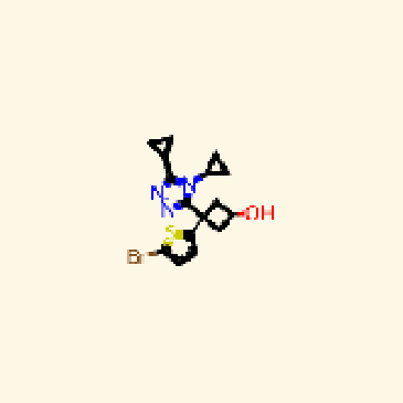 O[C@H]1C[C@](c2ccc(Br)s2)(c2nnc(C3CC3)n2C2CC2)C1